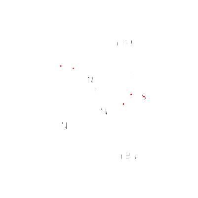 CCCCc1ccc(N2B3c4cc5c(cc4N(c4ccc(CCCC)cc4-c4ccccc4)c4cc(N(c6ccccc6)c6ccccc6)cc(c43)-c3ccccc32)Sc2ccccc2S5)c(-c2ccccc2)c1